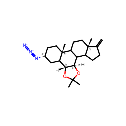 C=C1CCC2C3C(CC[C@]12C)[C@@]1(C)CC[C@@H](N=[N+]=[N-])CC1[C@H]1OC(C)(C)O[C@H]31